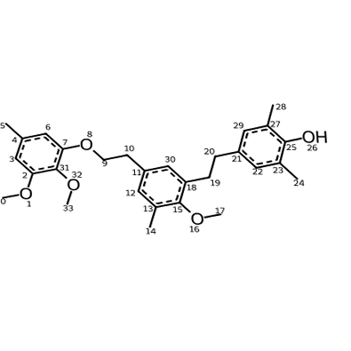 COc1cc(C)cc(OCCc2cc(C)c(OC)c(CCc3cc(C)c(O)c(C)c3)c2)c1OC